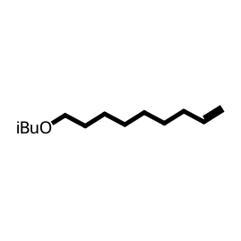 C=CCCCCCCCOCC(C)C